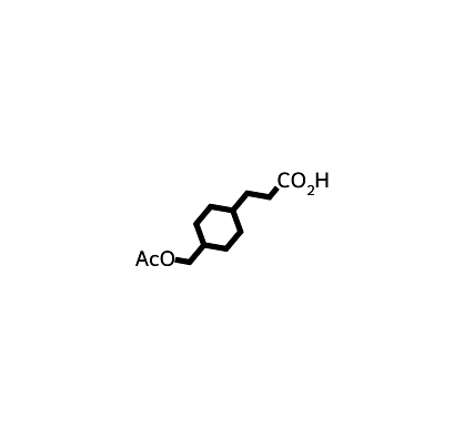 CC(=O)OCC1CCC(CCC(=O)O)CC1